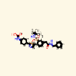 CC(C)(C)NS(=O)(=O)c1cc(CC(=O)NCc2ccccc2)ccc1-c1cnc(C2CCC(NC(=O)O)CC2)s1